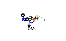 CO[C@H]1C[C@@H](CN2CCN(S(=O)(=O)c3csc(C)n3)C[C@@H]2c2cc3cnn(-c4ccc(F)cc4)c3cc2C)C1